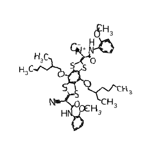 [C-]#[N+]C(C(=O)Nc1ccccc1OC)=C1Sc2c(OCC(CC)CCCC)c3c(c(OCC(CC)CCCC)c2S1)SC(=C(C#N)C(=O)Nc1ccccc1OC)S3